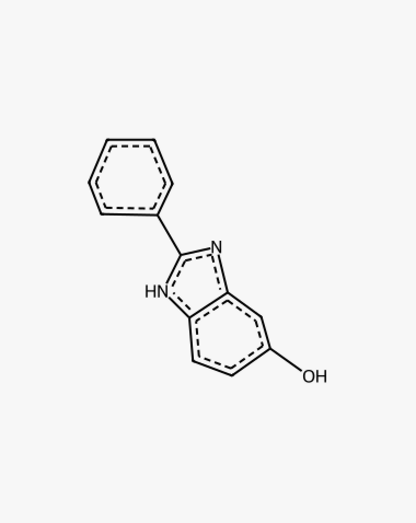 Oc1ccc2[nH]c(-c3ccccc3)nc2c1